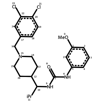 COc1cccc(NC(=O)NC(C(C)C)C2CCN(Cc3ccc(Cl)c(Cl)c3)CC2)c1